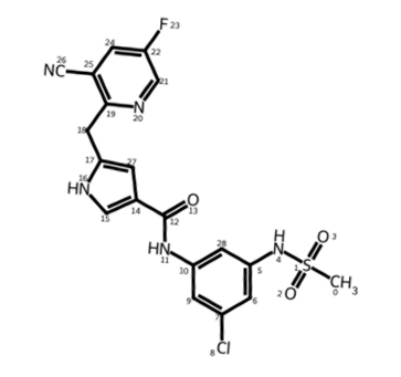 CS(=O)(=O)Nc1cc(Cl)cc(NC(=O)c2c[nH]c(Cc3ncc(F)cc3C#N)c2)c1